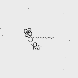 CCCCCCCCCc1ccccc1OS(=O)(=O)[O-].CCOCC.[Na+]